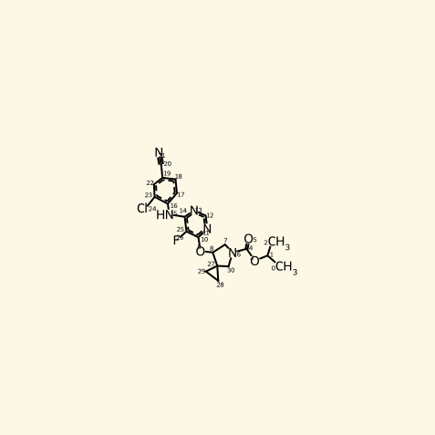 CC(C)OC(=O)N1CC(Oc2ncnc(Nc3ccc(C#N)cc3Cl)c2F)C2(CC2)C1